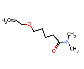 C=CCOCCCCC(=O)N(C)C